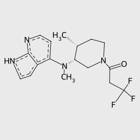 C[C@@H]1CCN(C(=O)CC(F)(F)F)C[C@@H]1N(C)c1ccnc2[nH]ccc12